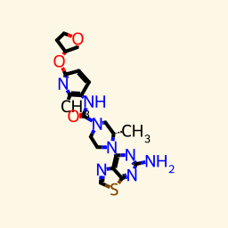 Cc1nc(OC2CCOC2)ccc1NC(=O)N1CCN(c2nc(N)nc3scnc23)[C@@H](C)C1